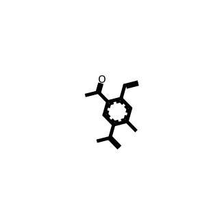 C=Cc1cc(C)c(C(=C)C)cc1C(C)=O